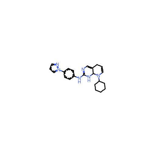 C1=CN(C2CCCCC2)C2NC(Nc3ccc(-n4cccn4)cc3)=NC=C2C1